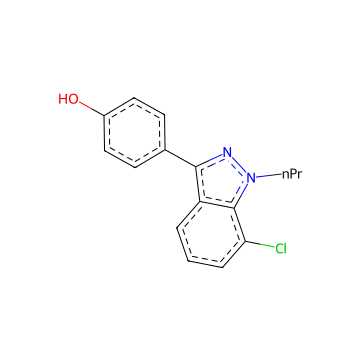 CCCn1nc(-c2ccc(O)cc2)c2cccc(Cl)c21